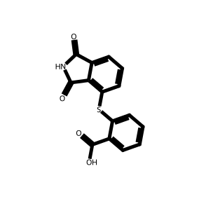 O=C(O)c1ccccc1Sc1cccc2c1C(=O)NC2=O